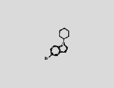 Brc1ccc2c(ccn2C2CCCCC2)c1